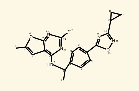 Cc1cc2c(NC(C)c3ccc(-c4nc(C5CC5)no4)cc3)nc(F)nc2o1